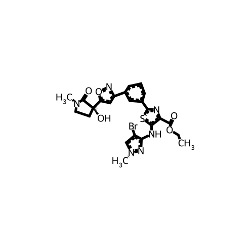 CCOC(=O)c1nc(-c2cccc(-c3cc([C@]4(O)CCN(C)C4=O)on3)c2)sc1Nc1nn(C)cc1Br